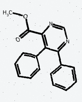 COC(=O)c1ncnc(-c2ccccc2)c1-c1ccccc1